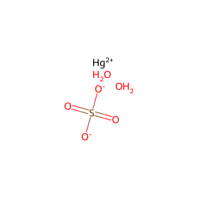 O.O.O=S(=O)([O-])[O-].[Hg+2]